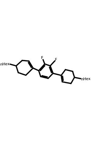 CCCCCCC1CC=C(c2ccc(C3=CCC(CCCCCC)CC3)c(F)c2F)CC1